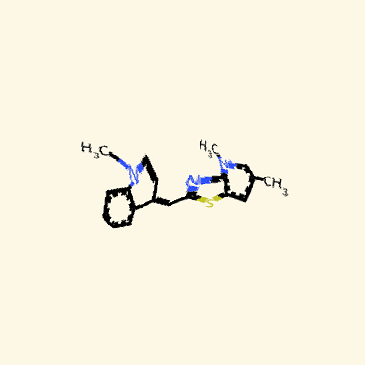 Cc1cc2sc(/C=C3\C=CN(C)c4ccccc43)nc2[n+](C)c1